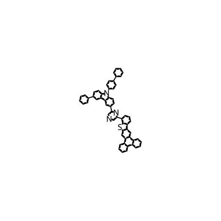 c1ccc(-c2ccc(-n3c4ccc(-c5ccccc5)cc4c4cc(-c5cncc(-c6cccc7c6sc6cc8c9ccccc9c9ccccc9c8cc67)n5)ccc43)cc2)cc1